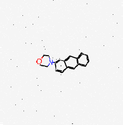 [c]1c(N2CCOCC2)ccc2cc3ccccc3cc12